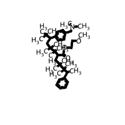 COCCOC(=O)C(CC(C)(C)C(C)(C)C(C)c1ccccc1)C(C)(C)C(C)(C)CC(c1ccc(CN(C)C)cc1)C(C)(C)C